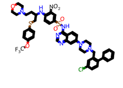 O=[N+]([O-])c1cc(S(=O)(=O)Nc2ncnc3cc(N4CCN(Cc5cc(Cl)ccc5-c5ccccc5)CC4)ccc23)ccc1NC(CCN1CCOCC1)CSc1ccc(OC(F)(F)F)cc1